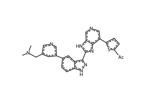 CC(=O)c1ccc(-c2cncc3[nH]c(-c4n[nH]c5ccc(-c6cncc(CN(C)C)c6)cc45)nc23)s1